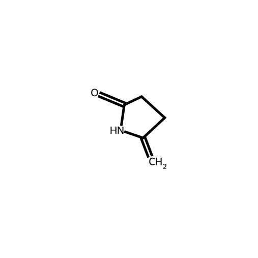 C=C1CCC(=O)N1